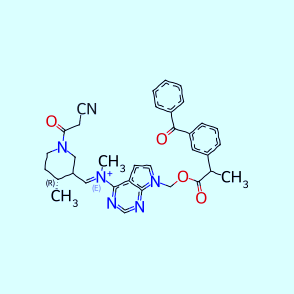 CC(C(=O)OCn1ccc2c(/[N+](C)=C/C3CN(C(=O)CC#N)CC[C@H]3C)ncnc21)c1cccc(C(=O)c2ccccc2)c1